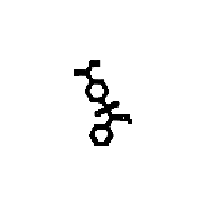 C=C(c1ccccc1)S(=O)(=O)N1CCC(C(=O)O)CC1